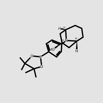 CC1(C)OB(c2ccc(N3[C@@H]4CCC[C@H]3C[C@H](O)C4)cc2)OC1(C)C